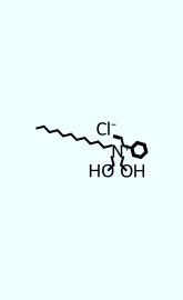 C=CC(c1ccccc1)[N+](CCO)(CCO)CCCCCCCCCCCC.[Cl-]